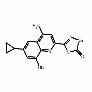 Cc1cc(-c2n[nH]c(=O)o2)nc2c(O)cc(C3CC3)cc12